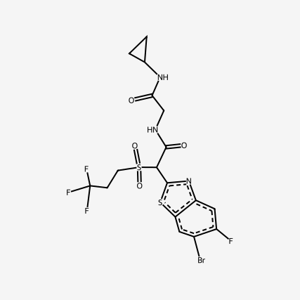 O=C(CNC(=O)C(c1nc2cc(F)c(Br)cc2s1)S(=O)(=O)CCC(F)(F)F)NC1CC1